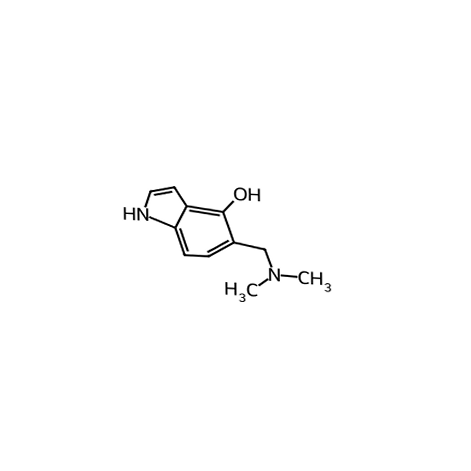 CN(C)Cc1ccc2[nH]ccc2c1O